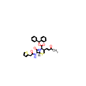 CC(=O)/C=C/C1=CS[C@@H]2[C@H](NC(=O)Cc3cccs3)C(=O)N2C1C(=O)OC(c1ccccc1)c1ccccc1